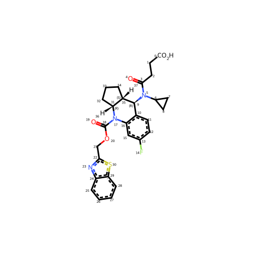 O=C(O)CCC(=O)N(C1CC1)[C@H]1c2ccc(F)cc2N(C(=O)OCc2nc3ccccc3s2)[C@@H]2CCC[C@@H]21